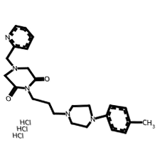 Cc1ccc(N2CCN(CCCN3C(=O)CN(Cc4ccccn4)CC3=O)CC2)cc1.Cl.Cl.Cl